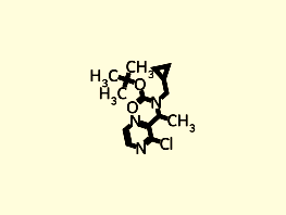 CC(c1nccnc1Cl)N(CC1CC1)C(=O)OC(C)(C)C